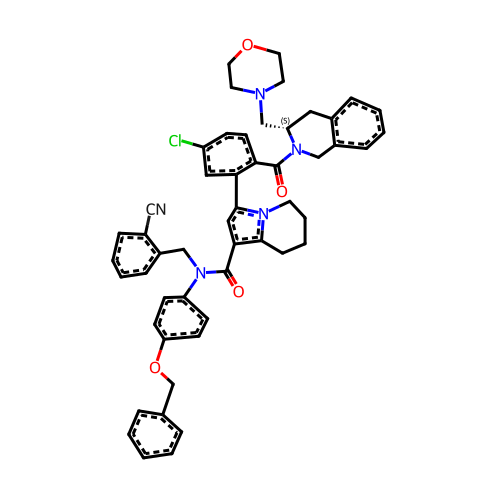 N#Cc1ccccc1CN(C(=O)c1cc(-c2cc(Cl)ccc2C(=O)N2Cc3ccccc3C[C@H]2CN2CCOCC2)n2c1CCCC2)c1ccc(OCc2ccccc2)cc1